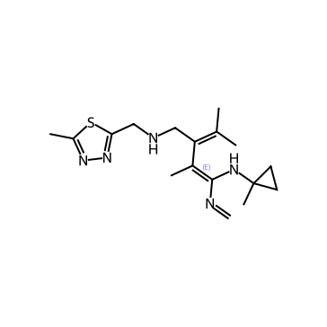 C=N/C(NC1(C)CC1)=C(\C)C(CNCc1nnc(C)s1)=C(C)C